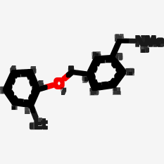 CCc1ccccc1OCc1cccc(CNC)c1